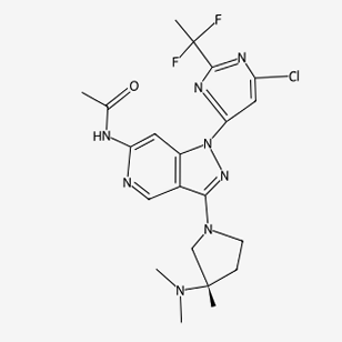 CC(=O)Nc1cc2c(cn1)c(N1CC[C@](C)(N(C)C)C1)nn2-c1cc(Cl)nc(C(C)(F)F)n1